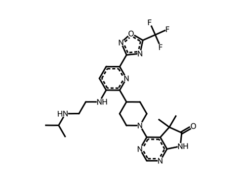 CC(C)NCCNc1ccc(-c2noc(C(F)(F)F)n2)nc1C1CCN(c2ncnc3c2C(C)(C)C(=O)N3)CC1